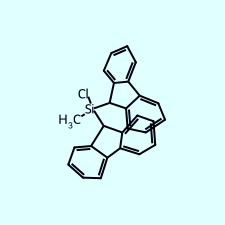 C[Si](Cl)(C1c2ccccc2-c2ccccc21)C1c2ccccc2-c2ccccc21